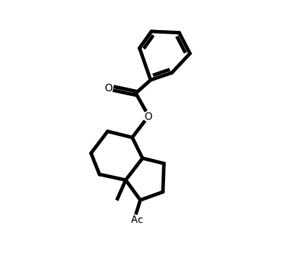 CC(=O)C1CCC2C(OC(=O)c3ccccc3)CCCC12C